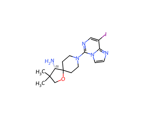 CC1(C)COC2(CCN(c3ncc(I)c4nccn34)CC2)[C@H]1N